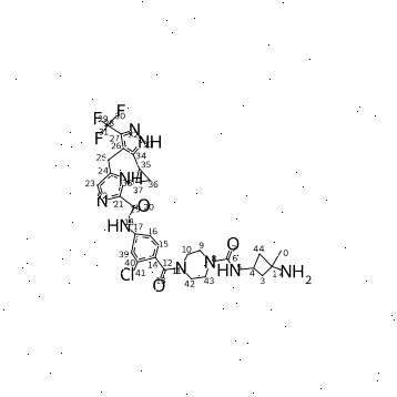 CC1(N)CC(NC(=O)N2CCN(C(=O)c3ccc(NC(=O)c4ncc(Cc5c(C(F)(F)F)n[nH]c5C5CC5)[nH]4)cc3Cl)CC2)C1